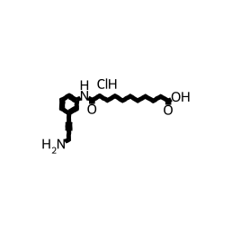 Cl.NCC#Cc1cccc(NC(=O)CCCCCCCCCC(=O)O)c1